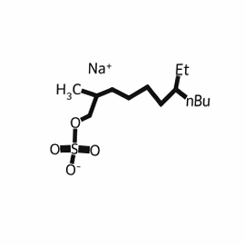 CCCCC(CC)CCCCC(C)COS(=O)(=O)[O-].[Na+]